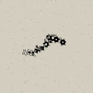 CC(C)(C)OC(=O)N1CC(CN2CC(N3CC[C@H](n4nc(-c5ccc(Oc6ccccc6)cc5)c5c(N)ncnc54)[C@H](F)C3)C2)(NF)C1